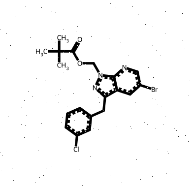 CC(C)(C)C(=O)OCn1nc(Cc2cccc(Cl)c2)c2cc(Br)cnc21